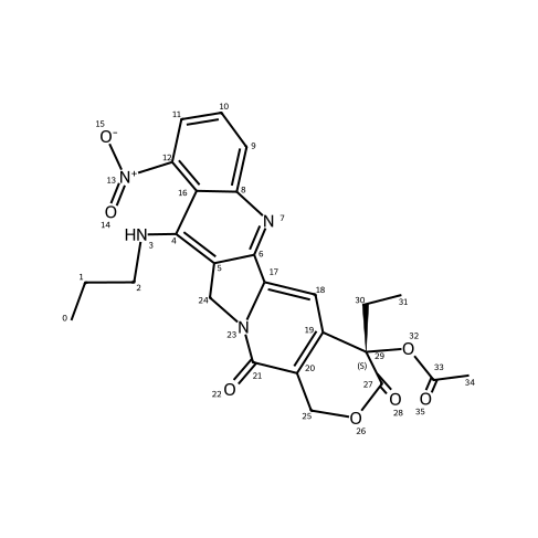 CCCNc1c2c(nc3cccc([N+](=O)[O-])c13)-c1cc3c(c(=O)n1C2)COC(=O)[C@@]3(CC)OC(C)=O